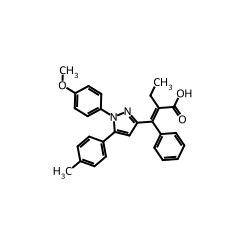 CCC(C(=O)O)=C(c1ccccc1)c1cc(-c2ccc(C)cc2)n(-c2ccc(OC)cc2)n1